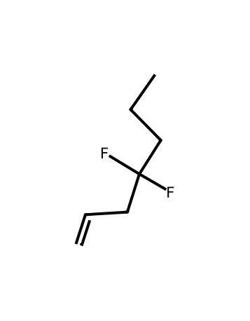 [CH]=CCC(F)(F)CCC